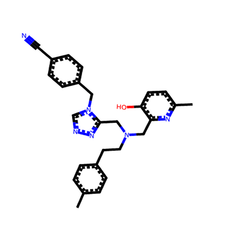 Cc1ccc(CCN(Cc2nc(C)ccc2O)Cc2nncn2Cc2ccc(C#N)cc2)cc1